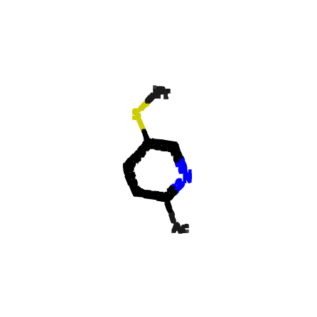 CC(=O)c1ccc(SC(C)C)cn1